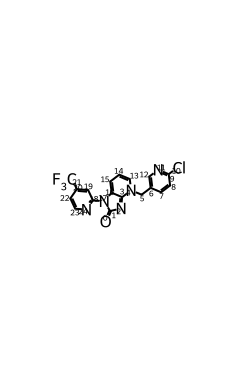 O=c1nc2n(Cc3ccc(Cl)nc3)cccc-2n1-c1cc(C(F)(F)F)ccn1